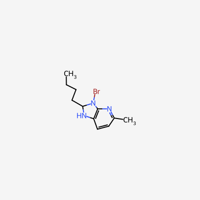 CCCCC1Nc2ccc(C)nc2N1Br